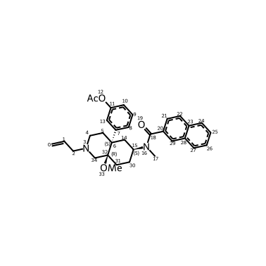 C=CCN1CC[C@@]2(c3cccc(OC(C)=O)c3)C[C@@H](N(C)C(=O)c3ccc4ccccc4c3)CC[C@]2(OC)C1